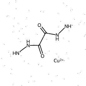 [Cu+2].[NH-]NC(=O)C(=O)N[NH-]